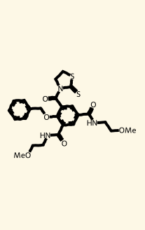 COCCNC(=O)c1cc(C(=O)NCCOC)c(OCc2ccccc2)c(C(=O)N2CCSC2=S)c1